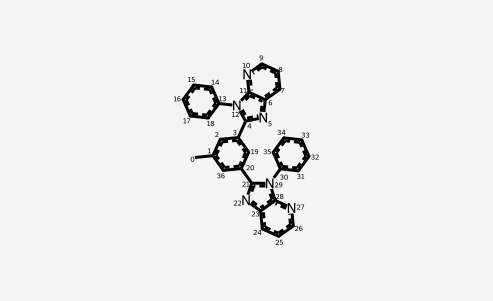 Cc1cc(-c2nc3cccnc3n2-c2ccccc2)cc(-c2nc3cccnc3n2-c2ccccc2)c1